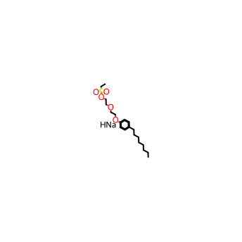 CCCCCCCCc1ccc(OCCOCCOS(=O)(=O)CC)cc1.[NaH]